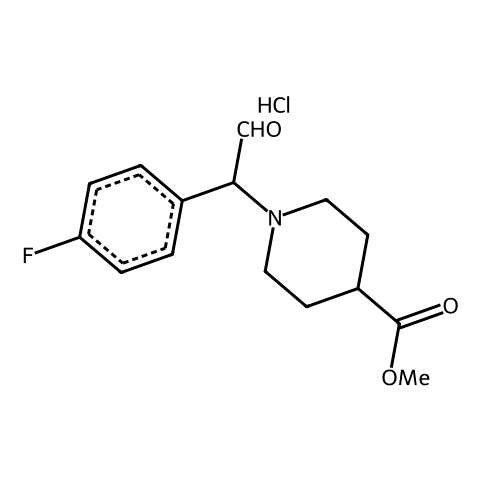 COC(=O)C1CCN(C(C=O)c2ccc(F)cc2)CC1.Cl